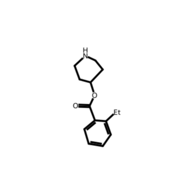 CCc1ccccc1C(=O)OC1CCNCC1